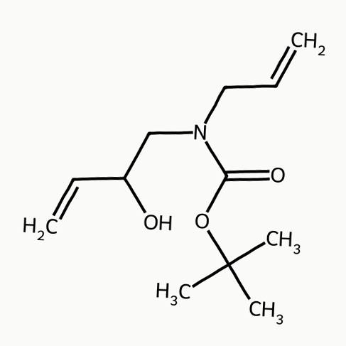 C=CCN(CC(O)C=C)C(=O)OC(C)(C)C